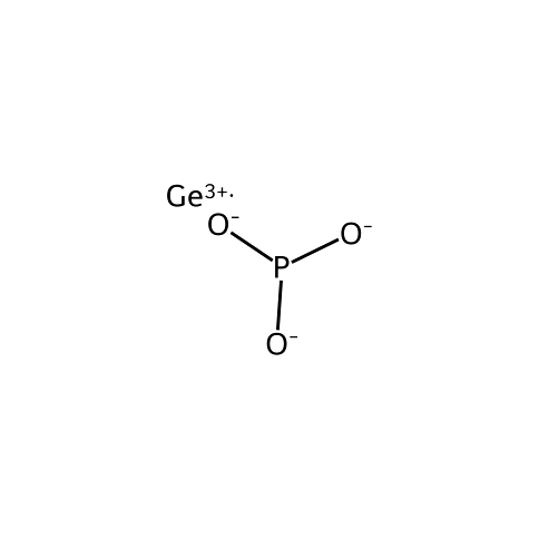 [Ge+3].[O-]P([O-])[O-]